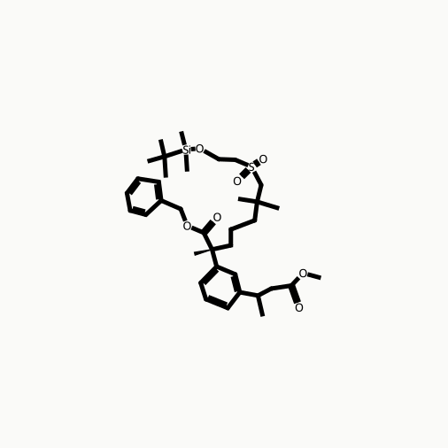 COC(=O)CC(C)c1cccc([C@@](C)(CCCC(C)(C)CS(=O)(=O)CCO[Si](C)(C)C(C)(C)C)C(=O)OCc2ccccc2)c1